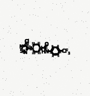 O=C(Nc1ccc(C(F)(F)F)cc1)N1CCN(c2nsnc2Cl)CC1